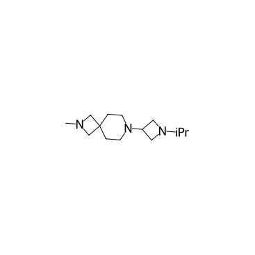 CC(C)N1CC(N2CCC3(CC2)CN(C)C3)C1